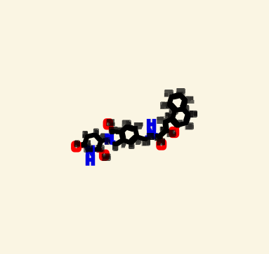 O=C1CCC(N2Cc3cc(CNC(=O)c4cc5c(ccc6ccccc65)o4)ccc3C2=O)C(=O)N1